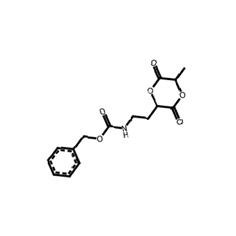 CC1OC(=O)C(CCNC(=O)OCc2ccccc2)OC1=O